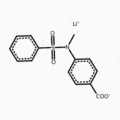 CN(c1ccc(C(=O)[O-])cc1)S(=O)(=O)c1ccccc1.[Li+]